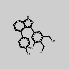 COc1cc(-c2n[nH]c3nccc(-c4ccc(C(C)C)cc4)c23)cc(CO)c1CO